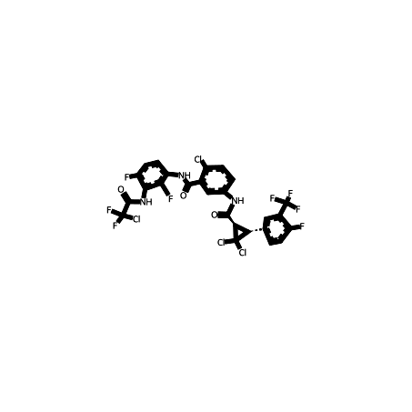 O=C(Nc1ccc(F)c(NC(=O)C(F)(F)Cl)c1F)c1cc(NC(=O)[C@H]2[C@H](c3ccc(F)c(C(F)(F)F)c3)C2(Cl)Cl)ccc1Cl